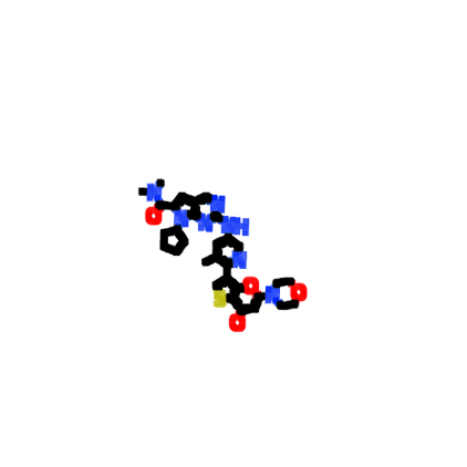 Cc1cc(Nc2ncc3cc(C(=O)N(C)C)n(C4CCCC4)c3n2)cnc1-c1csc2c(=O)cc(N3CCOCC3)oc12